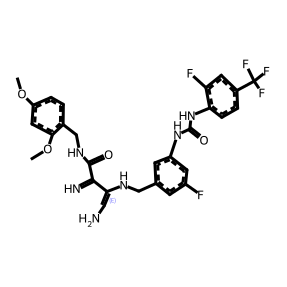 COc1ccc(CNC(=O)C(=N)/C(=C\N)NCc2cc(F)cc(NC(=O)Nc3ccc(C(F)(F)F)cc3F)c2)c(OC)c1